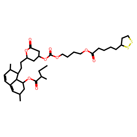 CCC(C)C(=O)OC1CC(C)C=C2C=CC(C)C(CCC3CC(OC(=O)OCCCCOC(=O)CCCCC4CCSS4)CC(=O)O3)C21